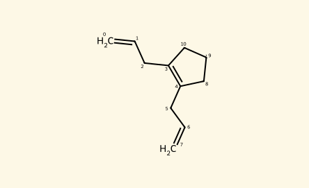 C=CCC1=C(CC=C)C[CH]C1